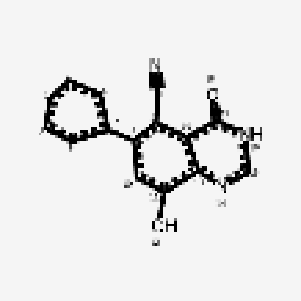 N#Cc1c(-c2ccccc2)cc(O)c2nc[nH]c(=O)c12